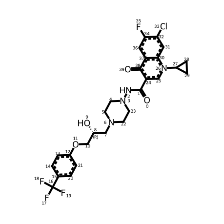 O=C(NN1CCN(C[C@@H](O)COc2ccc(C(F)(F)F)cc2)CC1)c1cn(C2CC2)c2cc(Cl)c(F)cc2c1=O